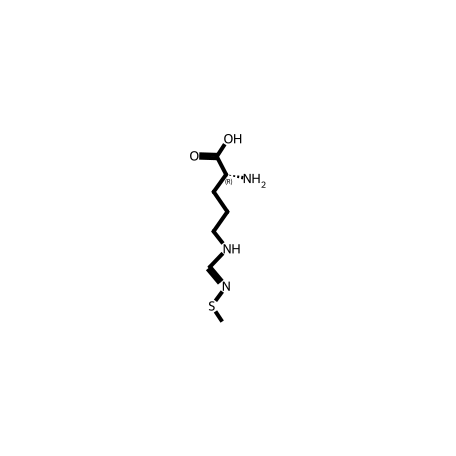 CSN=CNCCC[C@@H](N)C(=O)O